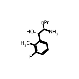 CCC[C@@H](N)[C@@H](O)c1cccc(F)c1C